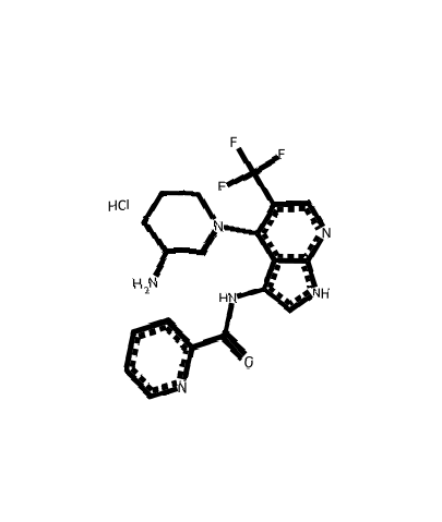 Cl.NC1CCCN(c2c(C(F)(F)F)cnc3[nH]cc(NC(=O)c4ccccn4)c23)C1